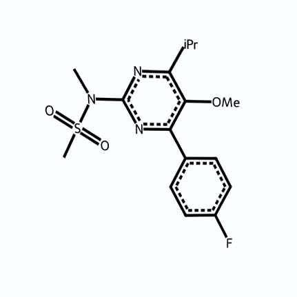 COc1c(-c2ccc(F)cc2)nc(N(C)S(C)(=O)=O)nc1C(C)C